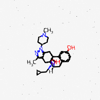 Cc1nn(C2CCN(C)CC2)c2c1C[C@@]1(O)[C@H]3Cc4ccc(O)cc4[C@@]1(CCN3CC1CC1)C2